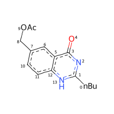 CCCCc1nc(=O)c2cc(COC(C)=O)ccc2[nH]1